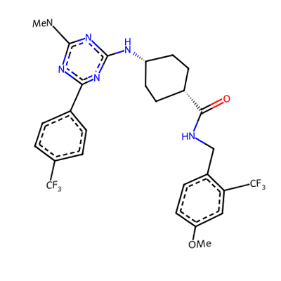 CNc1nc(N[C@H]2CC[C@@H](C(=O)NCc3ccc(OC)cc3C(F)(F)F)CC2)nc(-c2ccc(C(F)(F)F)cc2)n1